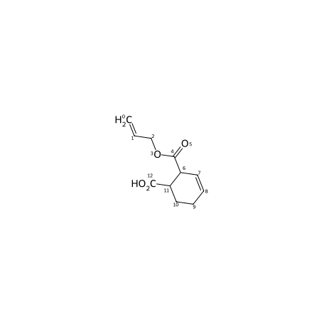 C=CCOC(=O)C1C=CCCC1C(=O)O